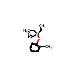 [CH2]c1ccccc1O[Si](CC)(CC)CC